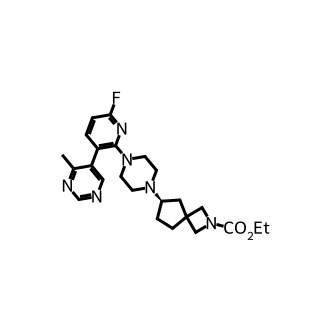 CCOC(=O)N1CC2(CC[C@@H](N3CCN(c4nc(F)ccc4-c4cncnc4C)CC3)C2)C1